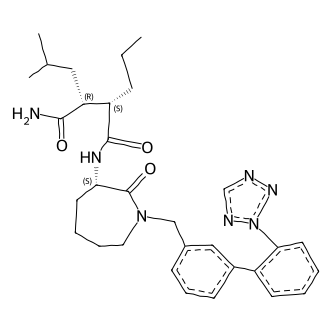 CCC[C@H](C(=O)N[C@H]1CCCCN(Cc2cccc(-c3ccccc3-n3ncnn3)c2)C1=O)[C@@H](CC(C)C)C(N)=O